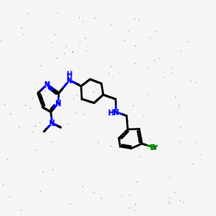 CN(C)c1ccnc(NC2CCC(CNCc3cccc(Br)c3)CC2)n1